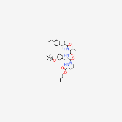 C=CCCOC(=O)[C@@H]1CCCN(C(=O)[C@H](Cc2cccc(O[Si](C)(C)C(C)(C)C)c2)NC(=O)[C@@H](NC(=O)[C@H](C)[C@H](C)c2ccc(C=C)cc2)C(C)C)N1